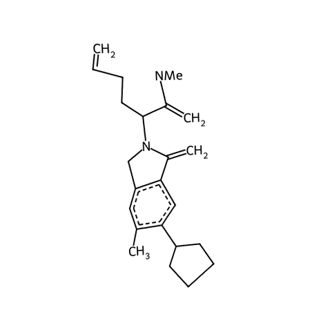 C=CCCC(C(=C)NC)N1Cc2cc(C)c(C3CCCC3)cc2C1=C